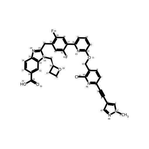 Cn1cc(C#Cc2ccc(COc3cccc(-c4cc(F)c(Cc5nc6ccc(C(=O)O)cc6n5C[C@@H]5CCO5)cc4F)n3)c(Cl)n2)cn1